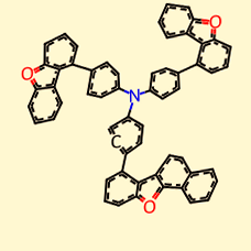 c1ccc2c(c1)ccc1c2oc2cccc(-c3ccc(N(c4ccc(-c5cccc6oc7ccccc7c56)cc4)c4ccc(-c5cccc6oc7ccccc7c56)cc4)cc3)c21